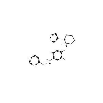 Cc1cc(S(=O)(=O)Nc2ccncn2)c(F)cc1O[C@@]1(C)CCCC[C@@H]1c1cn[nH]c1